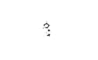 CCC(C)(C)NC(=O)[C@@H]1C[C@H](F)CN1C